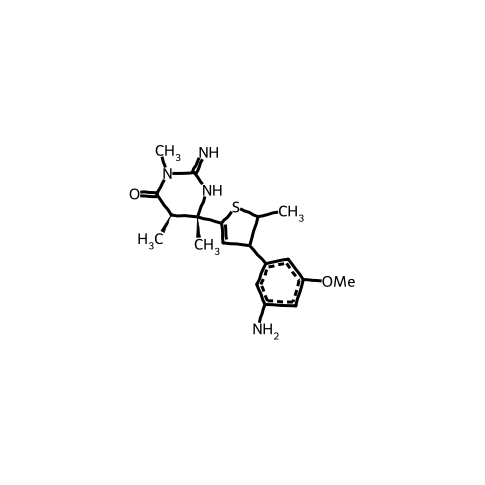 COc1cc(N)cc(C2C=C([C@@]3(C)NC(=N)N(C)C(=O)[C@@H]3C)SC2C)c1